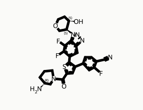 N#Cc1ccc(-c2cc(C(=O)N3CCC[C@@H](N)C3)sc2-c2cc3nnn([C@H]4COCC[C@@H]4O)c3c(F)c2F)cc1F